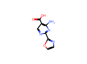 Nc1nc(-c2ncco2)ncc1C(=O)O